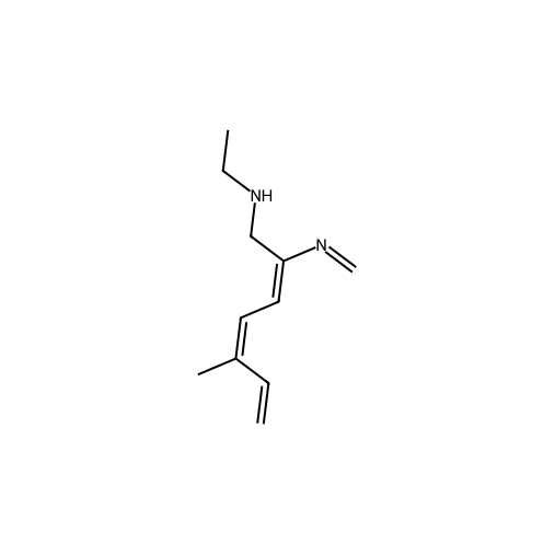 C=C/C(C)=C\C=C(/CNCC)N=C